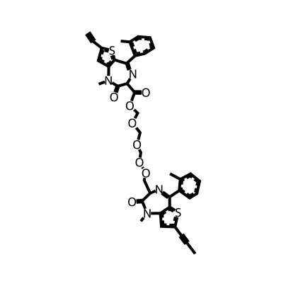 C#Cc1cc2c(s1)C(c1ccccc1C)=NC(C(=O)OCOCOCOOCC1N=C(c3ccccc3C)c3sc(C#CC)cc3N(C)C1=O)C(=O)N2C